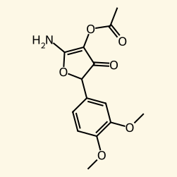 COc1ccc(C2OC(N)=C(OC(C)=O)C2=O)cc1OC